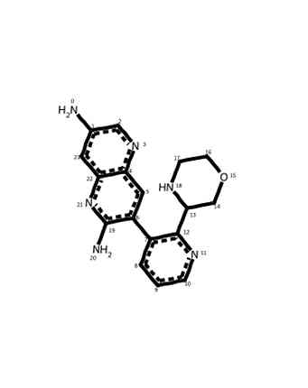 Nc1cnc2cc(-c3cccnc3C3COCCN3)c(N)nc2c1